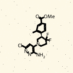 COC(=O)c1ccc([C@@H]2CN(c3cc(Cl)nnc3N)CCC2(F)F)c(C)c1